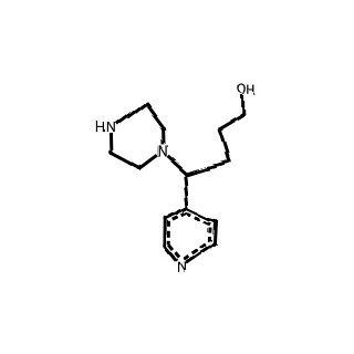 OCCCC(c1ccncc1)N1CCNCC1